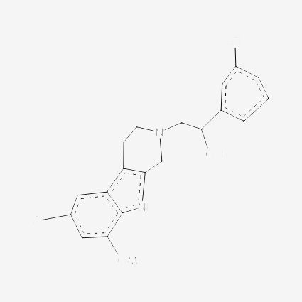 COc1cc(Cl)cc2c3c([nH]c12)CN(CC(O)c1cccc(Cl)c1)CC3